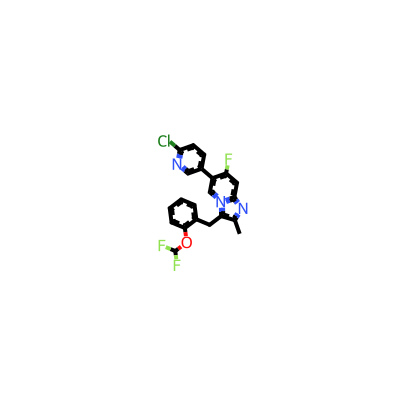 Cc1nc2cc(F)c(-c3ccc(Cl)nc3)cn2c1Cc1ccccc1OC(F)F